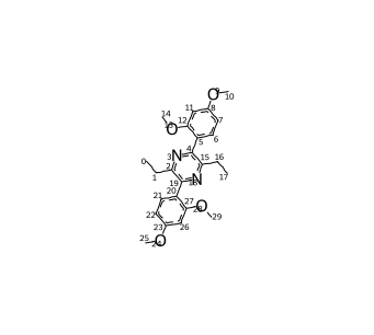 CCc1nc(-c2ccc(OC)cc2OC)c(CC)nc1-c1ccc(OC)cc1OC